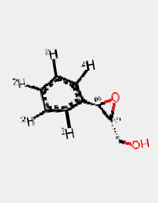 [2H]c1c([2H])c([2H])c([C@H]2O[C@@H]2CO)c([2H])c1[2H]